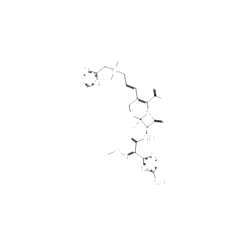 CO/N=C(\C(=O)N[C@@H]1C(=O)N2C(C(=O)[O-])=C(/C=C/C[N+](C)(C)Cc3ncon3)CS[C@@H]12)c1nsc(N)n1